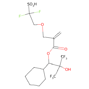 C=C(COCC(F)(F)S(=O)(=O)O)C(=O)OC(C1CCCCC1)C(O)(C(F)(F)F)C(F)(F)F